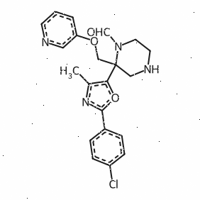 Cc1nc(-c2ccc(Cl)cc2)oc1C1(COc2cccnc2)CNCCN1C=O